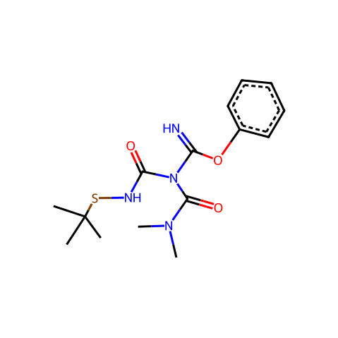 CN(C)C(=O)N(C(=N)Oc1ccccc1)C(=O)NSC(C)(C)C